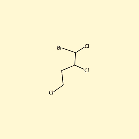 ClCCC(Cl)C(Cl)Br